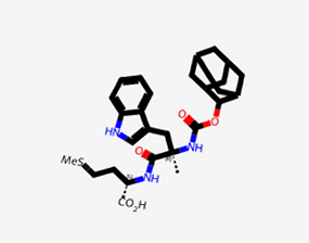 CSCC[C@H](NC(=O)[C@@](C)(Cc1c[nH]c2ccccc12)NC(=O)OC1C2CC3CC(C2)CC1C3)C(=O)O